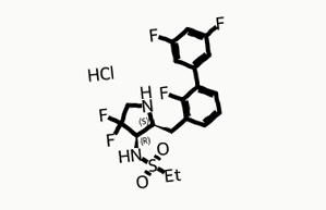 CCS(=O)(=O)N[C@@H]1[C@H](Cc2cccc(-c3cc(F)cc(F)c3)c2F)NCC1(F)F.Cl